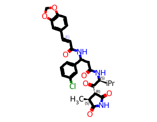 CC(C)[C@H](NC(=O)CC(NC(=O)/C=C/c1ccc2c(c1)OCO2)c1cccc(Cl)c1)C(=O)[C@@H]1C(=O)NC(=O)[C@H]1C